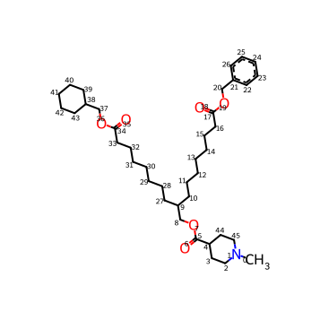 CN1CCC(C(=O)OCC(CCCCCCCC(=O)OCc2ccccc2)CCCCCCCC(=O)OCC2CCCCC2)CC1